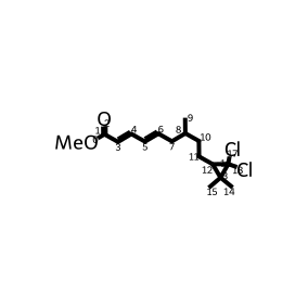 COC(=O)C=CC=CCC(C)CCC1C(C)(C)C1(Cl)Cl